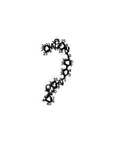 C(Cc1ccc(-c2ccc(CC=Nc3ccc4c(c3)CN(c3ccccc3)CO4)cc2)cc1)=Nc1ccc2c(c1)CN(c1ccccc1)CO2